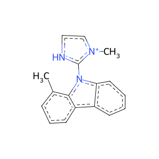 Cc1cccc2c3ccccc3n(-c3[nH]cc[n+]3C)c12